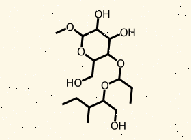 CCC(OC(CO)C(C)CC)OC1C(CO)OC(OC)C(O)C1O